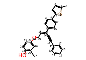 Cc1ccc(-c2ccc(C(C#Cc3ccccc3)=CCOc3ccc(O)c(C)c3)cc2)s1